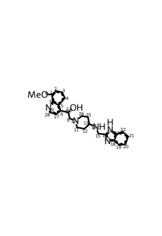 COc1cccc2c([C@@H](O)CN3CCC(NCc4nc5ccccc5[nH]4)CC3)ccnc12